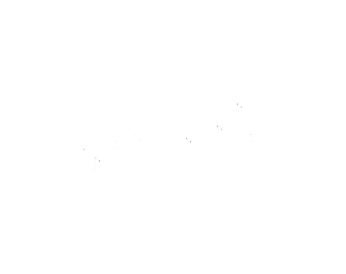 C[C@H]1CC(=O)Nc2ccc(CCN3CCN(c4noc5ccccc45)CC3)cc21